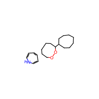 C1=CC=CNC=C1.C1CCCC(C2CCCCCOO2)CCC1